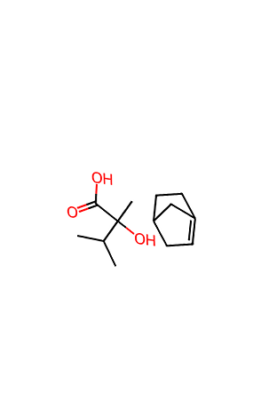 C1=C2CCC(C1)C2.CC(C)C(C)(O)C(=O)O